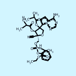 CCOC(=O)[C@H](C)NP(=O)(OC[C@@]1(C#N)OCC(OC(=O)C(C)C)(c2ccc3c(N)ncnn23)[C@@H]1OC(=O)C(C)C)Oc1ccccc1